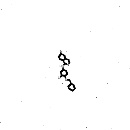 Clc1cc(Nc2nccc3cc(Br)ccc23)ccc1OCc1ccccc1